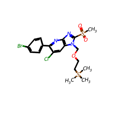 CS(C)(C)CCOCn1c(S(C)(=O)=O)nc2nc(-c3ccc(Br)cc3)c(Cl)cc21